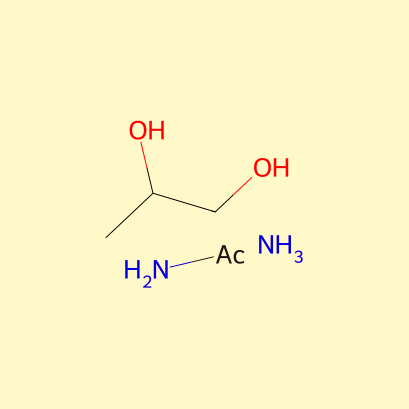 CC(N)=O.CC(O)CO.N